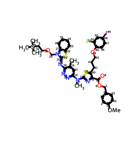 COc1ccc(COC(=O)c2nc(N(C)c3cc(C)c(/N=c4\sc5ccccc5n4COCC[Si](C)(C)C)nn3)sc2CCCOc2ccc(I)cc2F)cc1